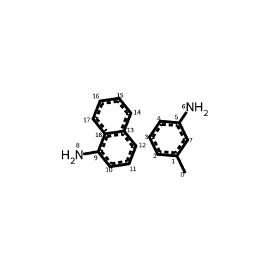 Cc1cccc(N)c1.Nc1cccc2ccccc12